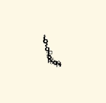 CCCC1CCC(/C=C/C2CCC(C(=O)Oc3ccc(C(F)(F)Oc4ccc(OC(F)(F)F)cc4)cc3)CC2)CC1